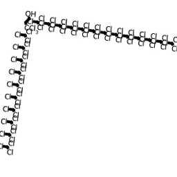 ClC(Cl)Cl.ClC(Cl)Cl.ClC(Cl)Cl.ClC(Cl)Cl.ClC(Cl)Cl.ClC(Cl)Cl.ClC(Cl)Cl.ClC(Cl)Cl.ClC(Cl)Cl.ClC(Cl)Cl.ClC(Cl)Cl.ClC(Cl)Cl.ClC(Cl)Cl.ClC(Cl)Cl.ClC(Cl)Cl.ClC(Cl)Cl.ClC(Cl)Cl.ClC(Cl)Cl.ClC(Cl)Cl.ClC(Cl)Cl.ClC(Cl)Cl.ClC(Cl)Cl.ClC(Cl)Cl.OCCC(Cl)(Cl)Cl